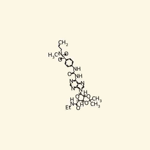 C=CCN(C)S(=O)(=O)c1ccc(NC(=O)Nc2ncnc3c2ncn3[C@@H]2O[C@H](C(=O)NCC)[C@H]3OC(C)(C)O[C@H]32)cc1